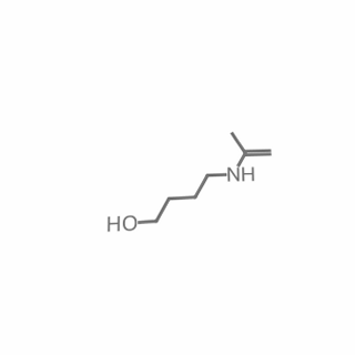 C=C(C)NCCCCO